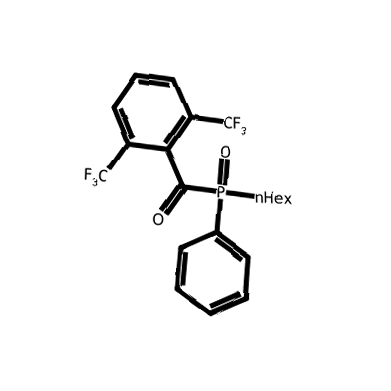 CCCCCCP(=O)(C(=O)c1c(C(F)(F)F)cccc1C(F)(F)F)c1ccccc1